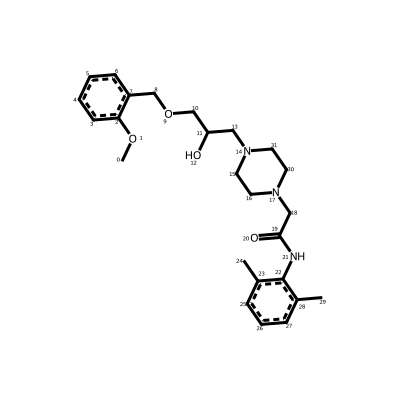 COc1ccccc1COCC(O)CN1CCN(CC(=O)Nc2c(C)cccc2C)CC1